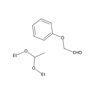 CCOC(C)OCC.O=CCOc1ccccc1